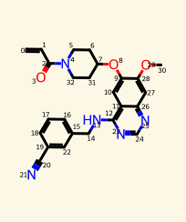 C=CC(=O)N1CCC(Oc2cc3c(NCc4cccc(C#N)c4)ncnc3cc2OC)CC1